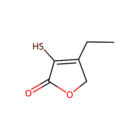 CCC1=C(S)C(=O)OC1